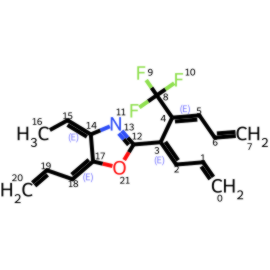 C=C/C=C(\C(=C/C=C)C(F)(F)F)c1nc(=C/C)/c(=C\C=C)o1